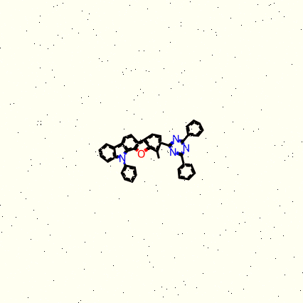 Cc1c(-c2nc(-c3ccccc3)nc(-c3ccccc3)n2)ccc2c1oc1c2ccc2c3ccccc3n(-c3ccccc3)c21